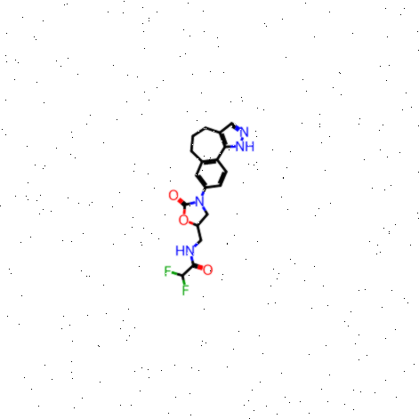 O=C(NCC1CN(c2ccc3c(c2)CCCc2cn[nH]c2-3)C(=O)O1)C(F)F